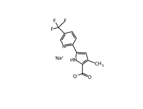 Cc1cc(-c2ccc(C(F)(F)F)cn2)[nH]c1C(=O)[O-].[Na+]